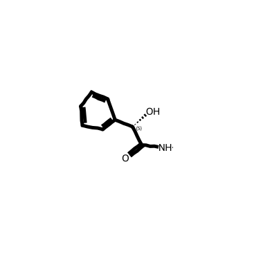 [NH]C(=O)[C@@H](O)c1ccccc1